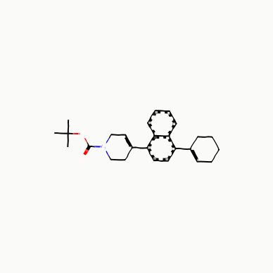 CC(C)(C)OC(=O)N1CC=C(c2ccc(C3=CCCCC3)c3ccccc23)CC1